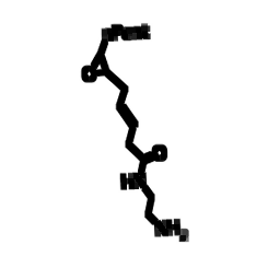 CCCCCC1OC1C/C=C/CC(=O)NCCN